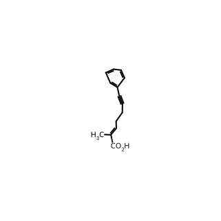 CC(=CCCC#Cc1ccccc1)C(=O)O